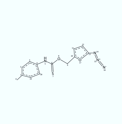 Cc1ccc(NC(=S)OCc2ccc(N=[N+]=[N-])o2)cc1